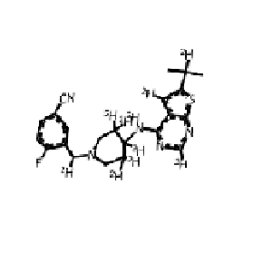 [2H]c1nc(N([2H])C2([2H])C([2H])([2H])CN(C([2H])c3cc(C#N)ccc3F)CC2([2H])[2H])c2c([2H])c(C([2H])(C)C)sc2n1